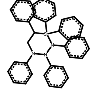 c1ccc(C2CN(c3ccccc3)N(c3ccccc3)N(c3ccccc3)[Si]2(c2ccccc2)c2ccccc2)cc1